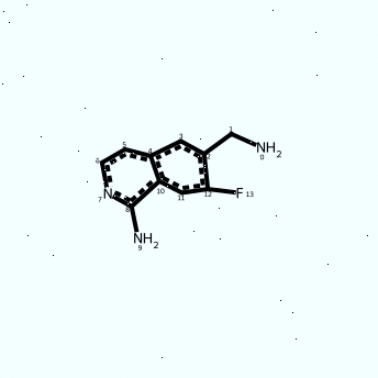 NCc1cc2ccnc(N)c2cc1F